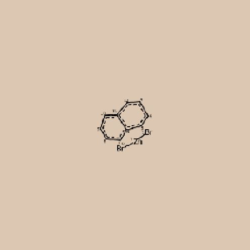 [Br][Zn][Br].[c]1ccc2ccccc2c1